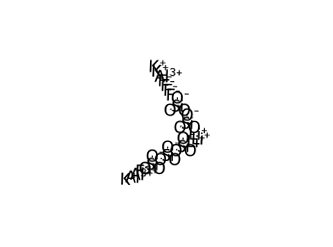 O=[Si]([O-])[O-].O=[Si]([O-])[O-].O=[Si]([O-])[O-].O=[Si]([O-])[O-].O=[Si]([O-])[O-].[Al+3].[Al+3].[Al+3].[F-].[F-].[F-].[F-].[F-].[K+].[K+].[K+].[Li+].[Li+].[Li+]